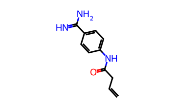 C=CCC(=O)Nc1ccc(C(=N)N)cc1